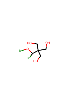 OCC(CO)(CO)C(Br)OBr